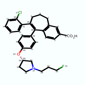 O=C(O)c1ccc2c(c1)CCCC(c1ccccc1Cl)=C2c1ccc(O[C@H]2CCN(CCCF)C2)cc1